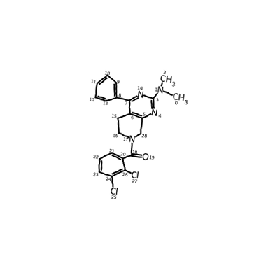 CN(C)c1nc2c(c(-c3ccccc3)n1)CCN(C(=O)c1cccc(Cl)c1Cl)C2